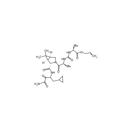 C=CCOC(=O)[C@@H](NC(=O)N[C@H](C(=O)N1C[C@H]2[C@@H]([C@H]1C(=O)NC(CC1CC1)C(=O)C(N)=O)C2(C)C)C(C)(C)C)C(C)(C)C